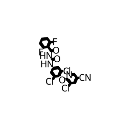 N#Cc1cnc(Oc2c(Cl)cc(NC(=O)NC(=O)c3c(F)cccc3F)cc2Cl)c(Cl)c1